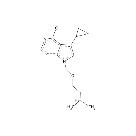 C[SiH](C)CCOCn1cc(C2CC2)c2c(Cl)nccc21